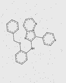 c1ccc(COc2ccccc2Nc2nc3cccnn3c2-c2ccncc2)cc1